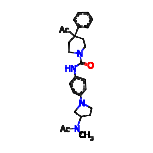 CC(=O)N(C)C1CCN(c2ccc(NC(=O)N3CCC(C(C)=O)(c4ccccc4)CC3)cc2)C1